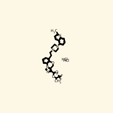 Cc1ccc2c(N3CCN(CCc4cccc5c4OCc4c(C(=O)OC(C)C(F)(F)F)ncn4-5)CC3)cccc2n1.Cl.Cl